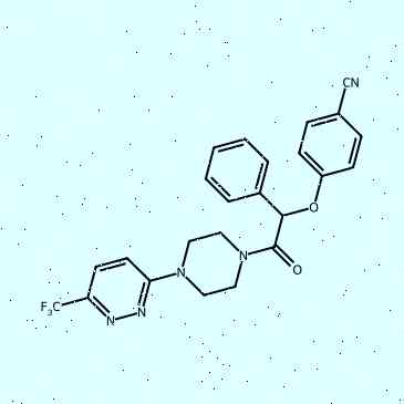 N#Cc1ccc(OC(C(=O)N2CCN(c3ccc(C(F)(F)F)nn3)CC2)c2ccccc2)cc1